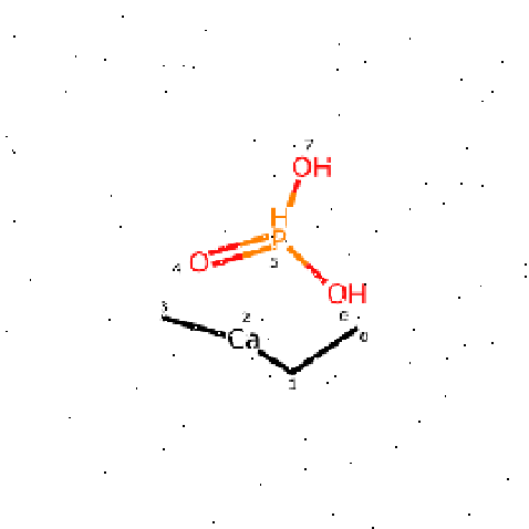 C[CH2][Ca][CH3].O=[PH](O)O